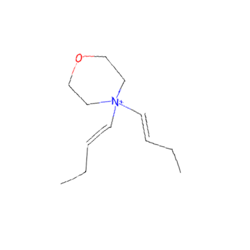 CCC=C[N+]1(C=CCC)CCOCC1